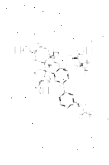 NC1=NC2(CO1)c1cc(-c3cccc(OC(F)F)c3)ccc1O[C@H]1CC[C@H](O)C[C@@H]12.O=C(O)C(F)(F)F